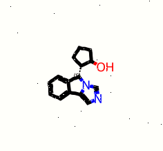 OC1CCCC1[C@H]1c2ccccc2-c2cncn21